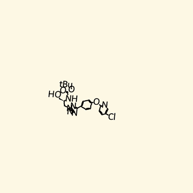 CC(C)(C)OC(=O)N[C@H](CO)Cn1nnc(-c2ccc(Oc3ccc(Cl)cn3)cc2)n1